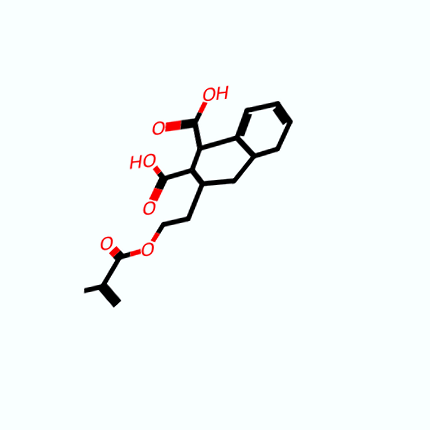 C=C(C)C(=O)OCCC1CC2CC=CC=C2C(C(=O)O)C1C(=O)O